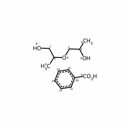 CC(O)COC(C)CO.O=C(O)c1ccccc1